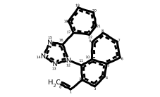 C=Cc1ccc2ccccc2c1-n1nnnc1-c1ccccc1